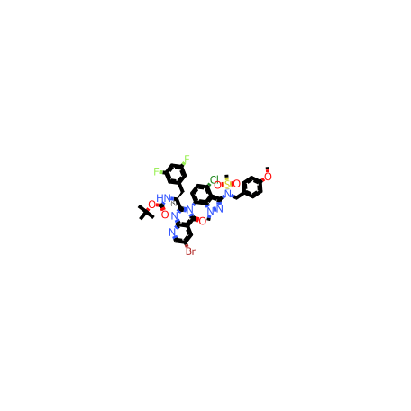 COc1ccc(CN(c2nn(C)c3c(-n4c([C@H](Cc5cc(F)cc(F)c5)NC(=O)OC(C)(C)C)nc5ncc(Br)cc5c4=O)ccc(Cl)c23)S(C)(=O)=O)cc1